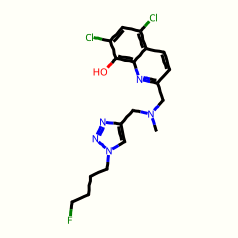 CN(Cc1cn(CCCCF)nn1)Cc1ccc2c(Cl)cc(Cl)c(O)c2n1